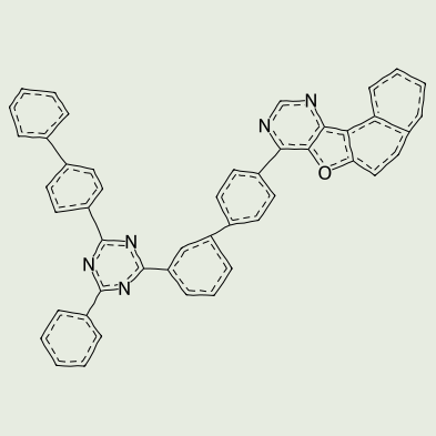 c1ccc(-c2ccc(-c3nc(-c4ccccc4)nc(-c4cccc(-c5ccc(-c6ncnc7c6oc6ccc8ccccc8c67)cc5)c4)n3)cc2)cc1